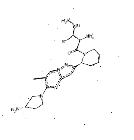 Cc1cn2nc([C@@H]3CCCCN3C(=O)C(N)C(Br)NN)cc2nc1N1CC[C@H](N)C1